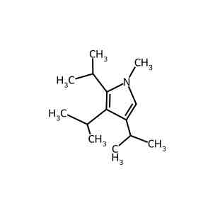 CC(C)c1cn(C)c(C(C)C)c1C(C)C